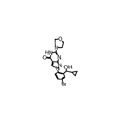 O=c1[nH]c(N2CCOCC2)nc2nn(-c3ccc(Br)cc3C(O)C3CC3)cc12